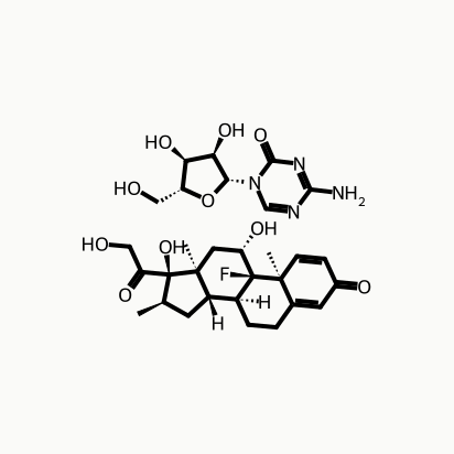 C[C@@H]1C[C@H]2[C@@H]3CCC4=CC(=O)C=C[C@]4(C)[C@@]3(F)[C@@H](O)C[C@]2(C)[C@@]1(O)C(=O)CO.Nc1ncn([C@@H]2O[C@H](CO)[C@@H](O)[C@H]2O)c(=O)n1